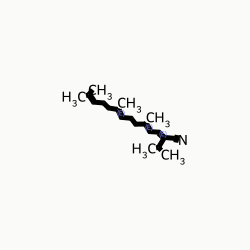 CC(C)=CCC/C(C)=C/CC/C(C)=C/C=C(/C#N)C(C)C